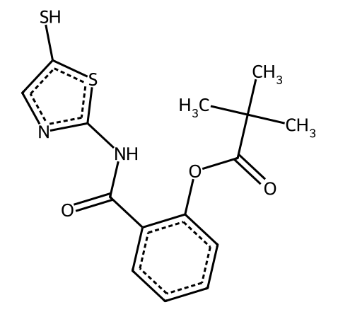 CC(C)(C)C(=O)Oc1ccccc1C(=O)Nc1ncc(S)s1